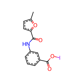 Cc1ccc(C(=O)Nc2cccc(C(=O)OI)c2)o1